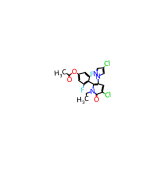 CCn1c(-c2c(F)cc(OC(C)=O)cc2F)c(-n2cc(Cl)cn2)cc(Cl)c1=O